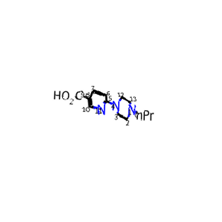 CCCN1CCN(c2ccc(C(=O)O)cn2)CC1